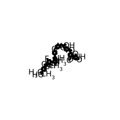 COc1ccc(C(=O)N2CCC(O[C@@H](CO)CN3CCC(Oc4ccc(-c5cc6c(-c7cc(F)cc(NC(=O)c8ccc(C(C)(C)O)cc8F)c7C)ncnc6[nH]5)cc4)CC3)CC2)cc1N1CCC(=O)NC1=O